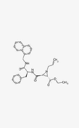 C=CCN1[C@H](C(=O)N[C@@H](Cc2ccccc2)C(=O)NCc2cccc3ccccc23)[C@H]1C(=O)OCC